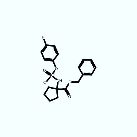 O=C(OCc1ccccc1)C1(NP(=O)(Cl)Oc2ccc(F)cc2)CCCC1